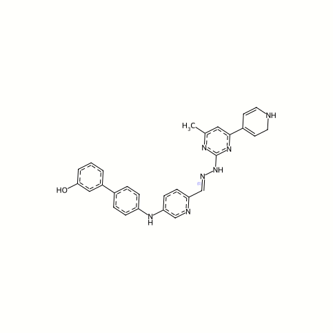 Cc1cc(C2=CCNC=C2)nc(N/N=C/c2ccc(Nc3ccc(-c4cccc(O)c4)cc3)cn2)n1